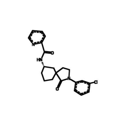 O=C(N[C@H]1CCCC2(CCN(c3cccc(Cl)c3)C2=O)C1)c1ccccn1